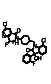 O=C(NC1CCC(CN2C(=O)C(O)(c3ccccc3F)c3cccc(Cl)c32)CC1)c1cc(Cl)cnc1C(F)F